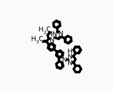 C=CCC1/C(=C\C)c2ccc(-c3ccc4c(c3)C3CC=CC=C3N4C3N=C(C4CCCCC4)CC(C4C=CC=CC4)N3)cc2N1C1C=C(C2=CC=CCC2)N=C(C2=CC=CCC2)N1